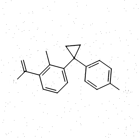 COc1ccc(C2(c3cccc(C(N)=O)c3C)CC2)cc1